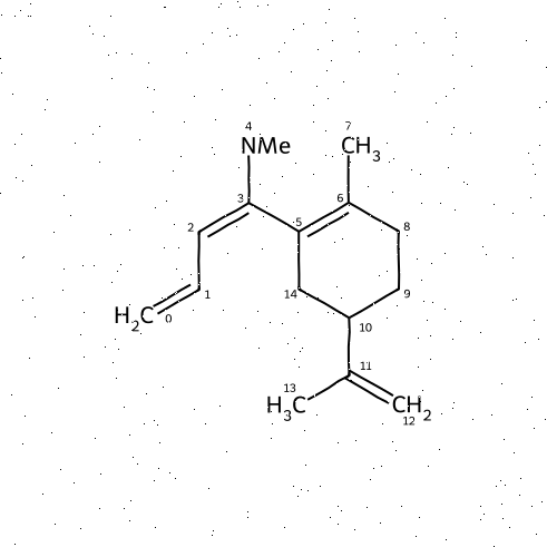 C=C/C=C(/NC)C1=C(C)CCC(C(=C)C)C1